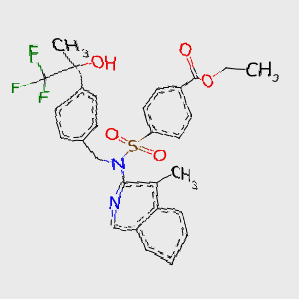 CCOC(=O)c1ccc(S(=O)(=O)N(Cc2ccc(C(C)(O)C(F)(F)F)cc2)c2ncc3ccccc3c2C)cc1